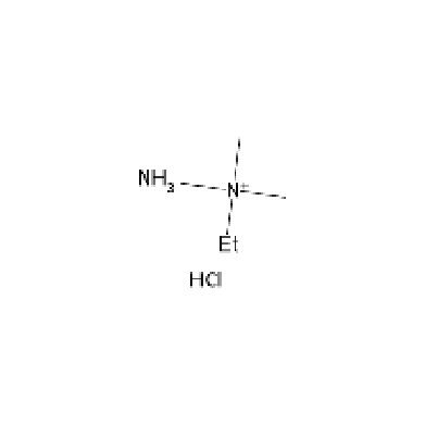 CC[N+](C)(C)C.Cl.N